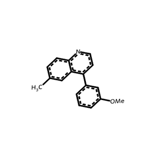 COc1cccc(-c2ccnc3ccc(C)cc23)c1